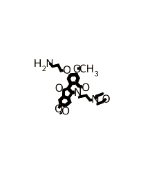 COc1cc2c(=O)n(CCCN3CCOCC3)c3c(c2cc1OCCCN)C(=O)c1cc2c(cc1-3)OCO2